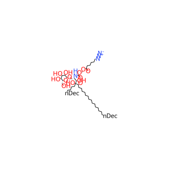 CCCCCCCCCCCCCCCCCCCCCCCCCC(=O)[C@@](O)(CCCCCCCCCCCCCC)[C@@H](O)[C@H](CO[C@H]1O[C@H](CO)[C@H](O)[C@H](O)[C@H]1O)NC(=O)OCOC(=O)CCCCCN=[N+]=[N-]